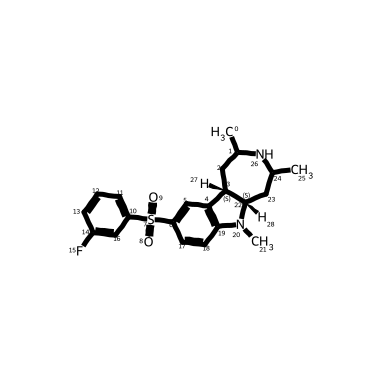 CC1C[C@H]2c3cc(S(=O)(=O)c4cccc(F)c4)ccc3N(C)[C@H]2CC(C)N1